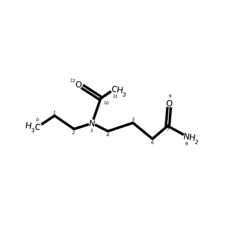 CCCN(CCCC(N)=O)C(C)=O